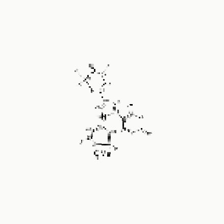 C=C/C=C\C(=C(/C)CC)c1nc(C2CC(C)OC(C)(C)C2)cn1C1=CC(C)C(OC)C(C)=C1